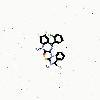 CC(c1ccccc1)N(C)C(=S)NC1N=C(c2ccccc2Cl)c2cc(Cl)ccc2N(C)C1=O